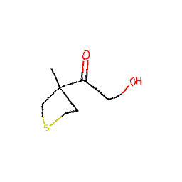 CC1(C(=O)CO)CSC1